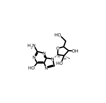 C[C@@]1(O)C(O)C(CO)O[C@H]1n1cnc2c(O)nc(N)nc21